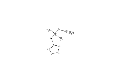 C#CC[N+](C)(C)CC1CCCC1